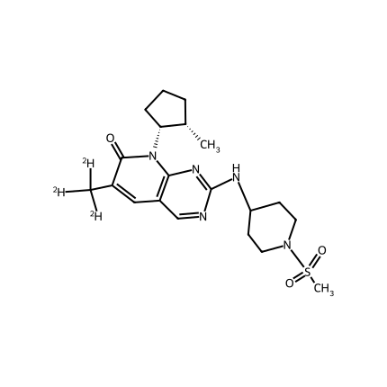 [2H]C([2H])([2H])c1cc2cnc(NC3CCN(S(C)(=O)=O)CC3)nc2n([C@@H]2CCC[C@@H]2C)c1=O